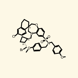 COc1ccc(CN(Cc2ccc(OC)cc2)S(=O)(=O)c2ccc3c(c2)N(C[C@@H]2CC[C@H]2CBr)C[C@@]2(CCCc4cc(Cl)ccc42)CO3)cc1